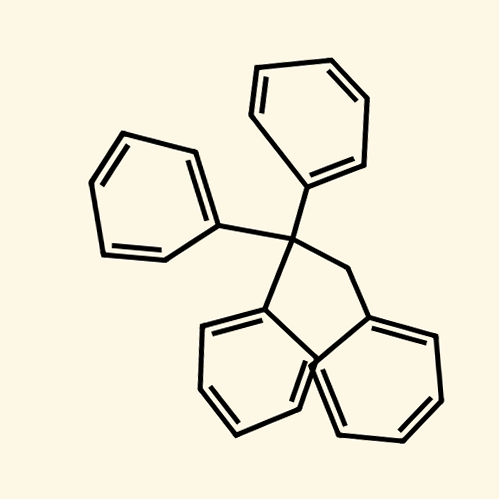 c1ccc(CC(c2ccccc2)(c2ccccc2)c2ccccc2)cc1